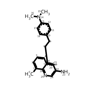 CC1=CC=CC23NC(CCc4ccc(N(C)C)cc4)=CC=C2C(N)=CN=C13